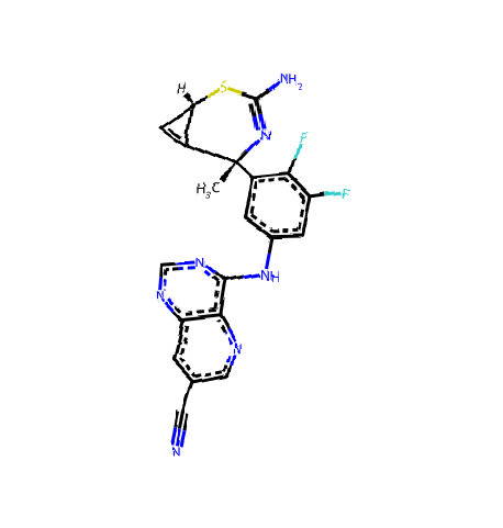 C[C@]1(c2cc(Nc3ncnc4cc(C#N)cnc34)cc(F)c2F)N=C(N)S[C@H]2C=C21